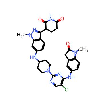 CN1C(=O)Cc2cc(Nc3nc(N4CCC(Nc5ccc6c(C7CCC(=O)NC7=O)nn(C)c6c5)CC4)ncc3Cl)ccc21